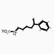 CC(CCCCNC(=O)O)c1ccccc1